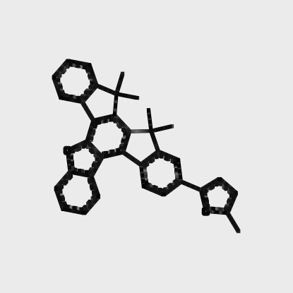 Cc1ccc(-c2ccc3c(c2)C(C)(C)c2c4c(c5oc6ccccc6c5c2-3)-c2ccccc2C4(C)C)o1